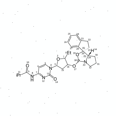 CCC1OC(n2ccc(NC(=O)C(C)C)nc2=O)CC1OP1O[C@]2(CCc3ccccc32)[C@@H]2CCCN21